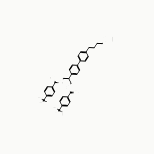 CCCCCc1ccc(-c2ccc(C(COC(=O)c3ccc(C(F)(F)F)cc3)COC(=O)c3ccc(C(F)(F)F)cc3)cc2)cc1